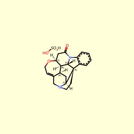 O=C1C[C@@H]2OCC=C3CN4CC[C@]56c7ccccc7N1[C@H]5[C@H]2[C@H]3C[C@H]46.O=S(=O)(O)O